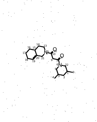 CC1CC(C)CN(C(=O)CC(=O)N2CCC3CCCC=C3C2)C1